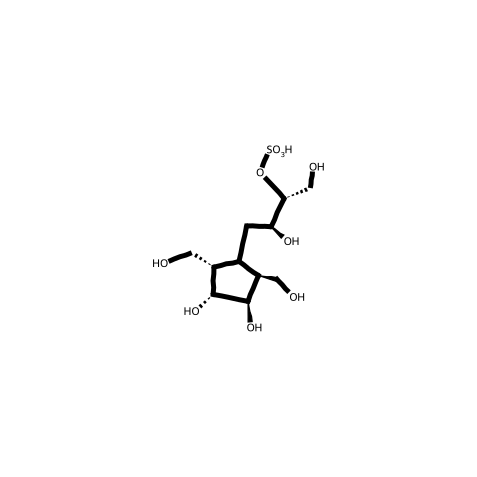 O=S(=O)(O)O[C@H](CO)[C@@H](O)CC1[C@@H](CO)[C@@H](O)[C@H](O)[C@@H]1CO